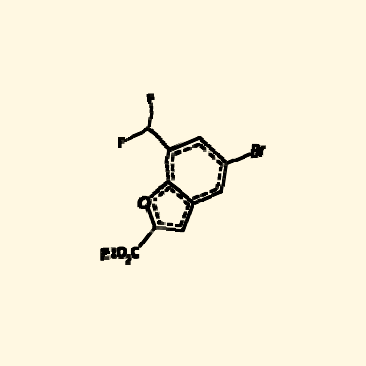 CCOC(=O)c1cc2cc(Br)cc(C(F)F)c2o1